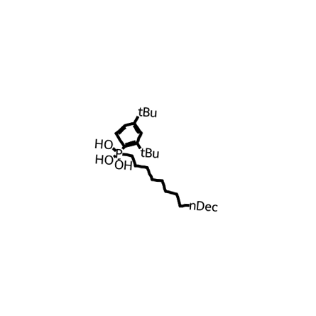 CCCCCCCCCCCCCCCCCCP(O)(O)(O)c1ccc(C(C)(C)C)cc1C(C)(C)C